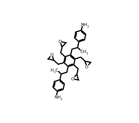 CC(Cc1c(CC2CO2)c(CC2CO2)c(CC(C)c2ccc(N)cc2)c(CC2CO2)c1CC1CO1)c1ccc(N)cc1